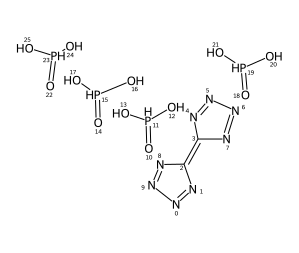 N1=NC(=C2N=NN=N2)N=N1.O=[PH](O)O.O=[PH](O)O.O=[PH](O)O.O=[PH](O)O